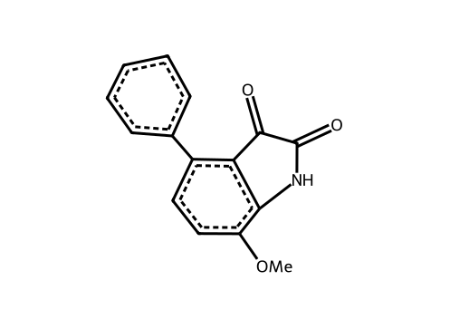 COc1ccc(-c2ccccc2)c2c1NC(=O)C2=O